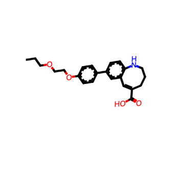 CCCOCCOc1ccc(-c2ccc3c(c2)C=C(C(=O)O)CCCN3)cc1